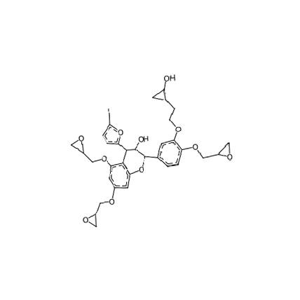 Cc1ccc(C2c3c(OCC4CO4)cc(OCC4CO4)cc3OC(c3ccc(OCC4CO4)c(OCCC4CC4O)c3)C2O)o1